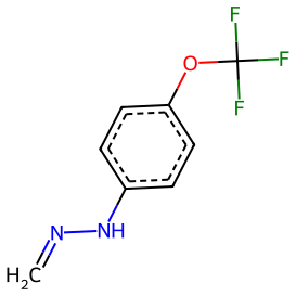 C=NNc1ccc(OC(F)(F)F)cc1